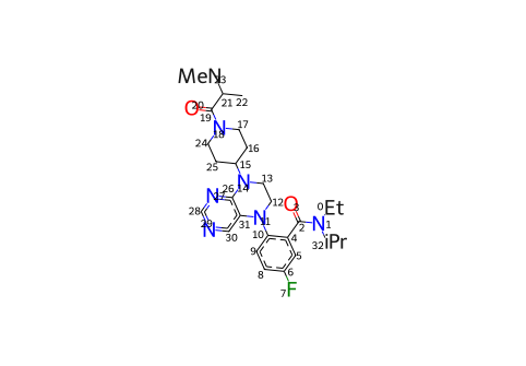 CCN(C(=O)c1cc(F)ccc1N1CCN(C2CCN(C(=O)C(C)NC)CC2)c2ncncc21)C(C)C